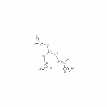 CC(=CCC(CC1CO1)CC1CO1)C(=O)O